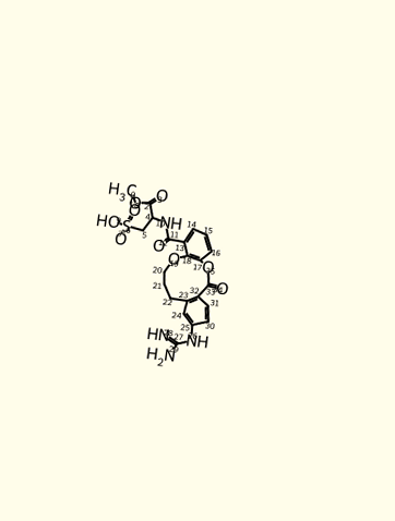 COC(=O)C(CS(=O)(=O)O)NC(=O)c1cccc2c1OCCCc1cc(NC(=N)N)ccc1C(=O)O2